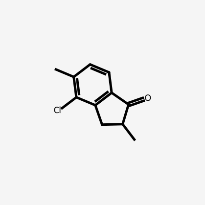 Cc1ccc2c(c1Cl)CC(C)C2=O